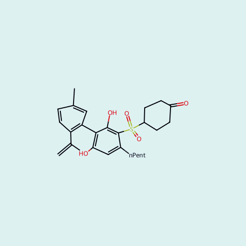 C=C(C)c1ccc(C)cc1-c1c(O)cc(CCCCC)c(S(=O)(=O)C2CCC(=O)CC2)c1O